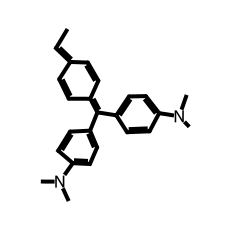 CC=c1ccc(=C(c2ccc(N(C)C)cc2)c2ccc(N(C)C)cc2)cc1